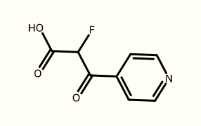 O=C(O)C(F)C(=O)c1ccncc1